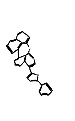 c1ccc(-c2ccc(-c3ccc4oc5cccc6cccc(c7cccc3c47)c65)s2)cc1